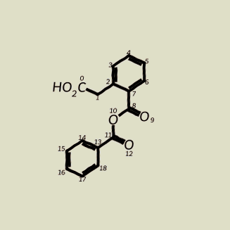 O=C(O)Cc1ccccc1C(=O)OC(=O)c1ccccc1